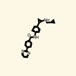 O=C(Nc1ccc(C2CC2NCC2CC2)cc1)c1ccc(-c2ncccn2)cc1